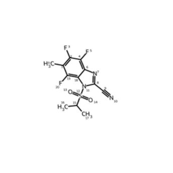 Cc1c(F)c(F)c2nc(C#N)n(S(=O)(=O)C(C)C)c2c1F